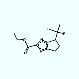 CCOC(=O)c1nc2n(n1)C(C(C)(F)F)CC2